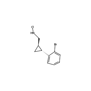 ClNC[C@@H]1C[C@H]1c1ccccc1Br